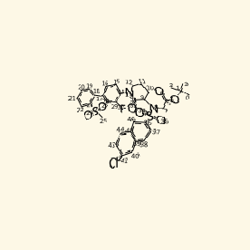 CC(C)(C)OC(=O)CN(C1CCCN(c2ccc(-c3ccccc3S(C)(=O)=O)cc2F)C1=O)S(=O)(=O)c1ccc2cc(Cl)ccc2c1